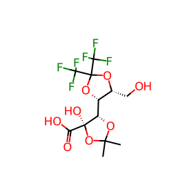 CC1(C)O[C@@H]([C@@H]2OC(C(F)(F)F)(C(F)(F)F)O[C@@H]2CO)[C@](O)(C(=O)O)O1